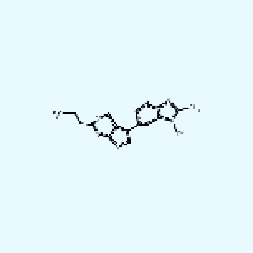 Cc1nc2ncc(-c3c[nH]c4nc(CCC(F)(F)F)ncc34)cc2n1C(C)C